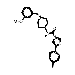 COc1cccc(CN2CCC(N(C)C(=O)n3cnc(-c4ccc(C)cc4)c3)CC2)c1